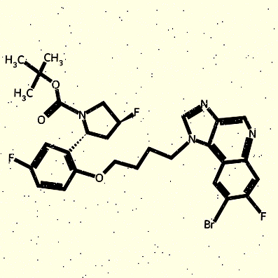 CC(C)(C)OC(=O)N1C[C@@H](F)C[C@@H]1c1cc(F)ccc1OCCCCn1cnc2cnc3cc(F)c(Br)cc3c21